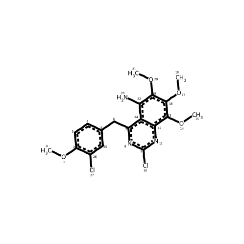 COc1ccc(Cc2nc(Cl)nc3c(OC)c(OC)c(OC)c(N)c23)cc1Cl